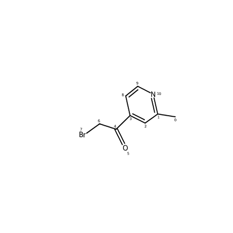 Cc1cc(C(=O)CBr)ccn1